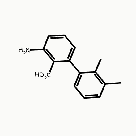 Cc1cccc(-c2cccc(N)c2C(=O)O)c1C